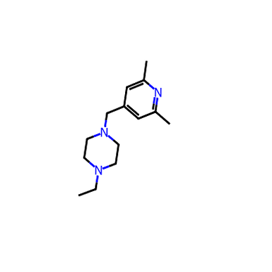 CCN1CCN(Cc2cc(C)nc(C)c2)CC1